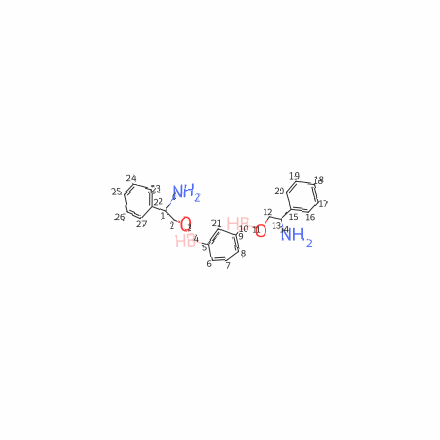 NC(COBc1cccc(BOCC(N)c2ccccc2)c1)c1ccccc1